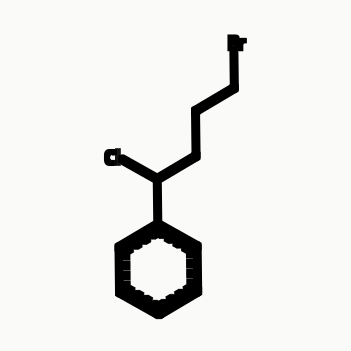 ClC(CCCBr)c1ccccc1